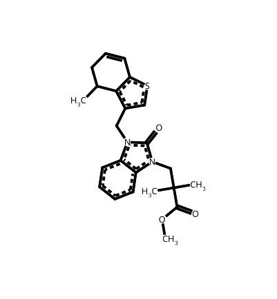 COC(=O)C(C)(C)Cn1c(=O)n(Cc2csc3c2C(C)CC=C3)c2ccccc21